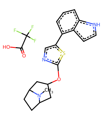 CN1C2CCC1CC(Oc1ncc(-c3cccc4[nH]ccc34)s1)C2.O=C(O)C(F)(F)F